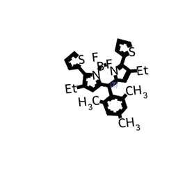 CCC1=C/C(=C(\c2c(C)cc(C)cc2C)c2cc(CC)c(-c3cccs3)n2B(F)F)N=C1c1cccs1